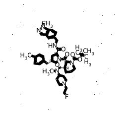 Cc1ccc(C[C@@H]2C[C@@H](C(=O)NCc3ccc4c(cnn4C)c3)N(C(=O)[C@H]3[C@@H](C(=O)N(C)C4CCN(CCF)CC4)CCCN3C(=O)OC(C)(C)C)C2)cc1